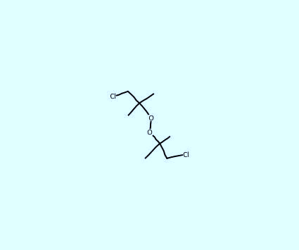 CC(C)(CCl)OOC(C)(C)CCl